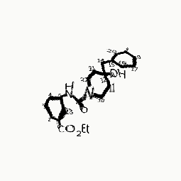 CCOC(=O)c1cccc(NC(=O)N2CCC(O)(CC3CCCCC3)CC2)c1